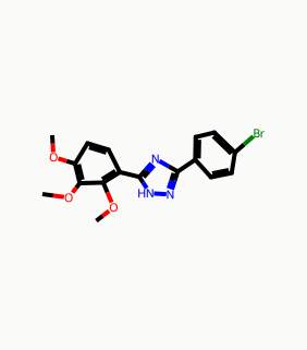 COc1ccc(-c2nc(-c3ccc(Br)cc3)n[nH]2)c(OC)c1OC